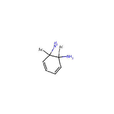 CC(=O)C1(N)C=CC=CC1(N)C(C)=O